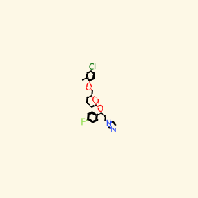 Cc1cc(Cl)ccc1OCC1CCCC(OC(CCn2ccnc2)c2ccc(F)cc2)O1